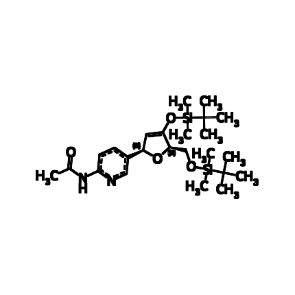 CC(=O)Nc1ccc([C@H]2C=C(O[Si](C)(C)C(C)(C)C)[C@@H](CO[Si](C)(C)C(C)(C)C)O2)cn1